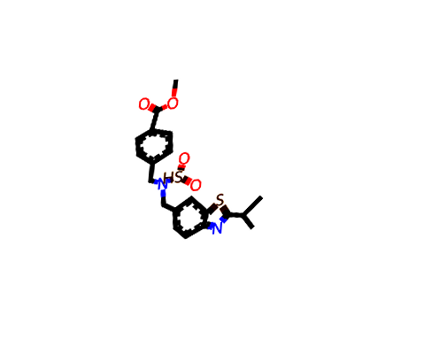 COC(=O)c1ccc(CN(Cc2ccc3nc(C(C)C)sc3c2)[SH](=O)=O)cc1